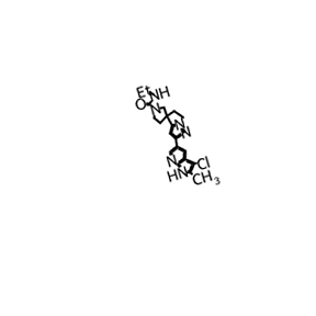 CCNC(=O)N1CCC2(CCn3nc(-c4cnc5[nH]c(C)c(Cl)c5c4)cc32)C1